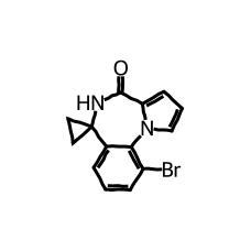 O=C1NC2(CC2)c2cccc(Br)c2-n2cccc21